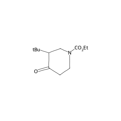 CCOC(=O)N1CCC(=O)C(C(C)(C)C)C1